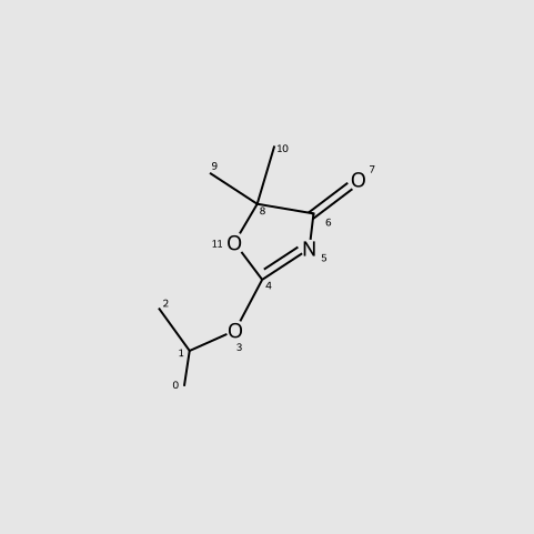 CC(C)OC1=NC(=O)C(C)(C)O1